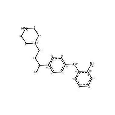 CC(CCN1CCNCC1)c1ccc(Oc2ccccc2Br)cc1